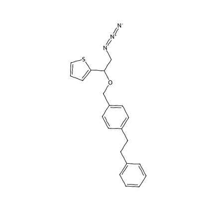 [N-]=[N+]=NCC(OCc1ccc(CCc2ccccc2)cc1)c1cccs1